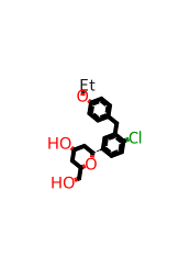 CCOc1ccc(Cc2cc([C@H]3CC(O)CC(CO)O3)ccc2Cl)cc1